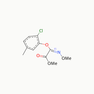 CO/N=C(/Oc1cc(C)ccc1Cl)C(=O)OC